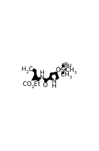 C=CC1CC1(NC(=O)C1CC(O[Si](C)(C)C(C)(C)C)CN1)C(=O)OCC